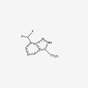 CCOC(=O)c1[nH]nc2c(C(F)F)cccc12